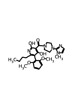 CCCCc1nc(O)c(C(=O)N2CCN(c3nccn3C)CC2)c(O)c1-c1c(OC)cccc1OC